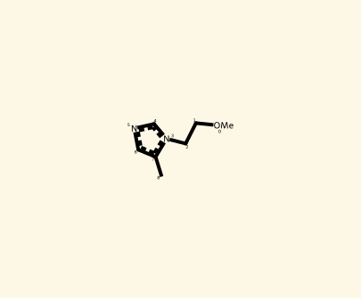 COCCn1cncc1C